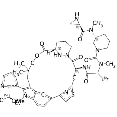 CCn1c(-c2cccnc2[C@H](C)OC)c2c3cc(ccc31)-c1csc(n1)C[C@H](NC(=O)C(C(C)C)N(C)C(=O)N1CCC[C@@H](N(C)C(=O)[C@H]3CN3)C1)C(=O)N1CCC[C@H](N1)C(=O)OCC(C)(C)C2